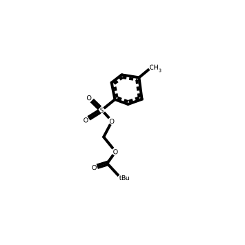 Cc1ccc(S(=O)(=O)OCOC(=O)C(C)(C)C)cc1